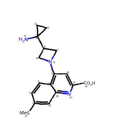 CSc1ccc2c(N3CC(C4(N)CC4)C3)cc(C(=O)O)nc2c1